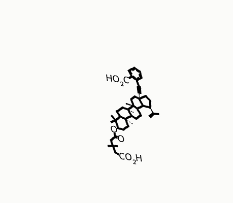 C=C(C)[C@@H]1CC[C@]2(C#Cc3ccccc3C(=O)O)CC[C@]3(C)C(CCC4[C@@]5(C)CC[C@H](OC(=O)CC(C)(C)CC(=O)O)C(C)(C)C5CC[C@]43C)C12